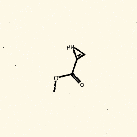 COC(=O)C1=CN1